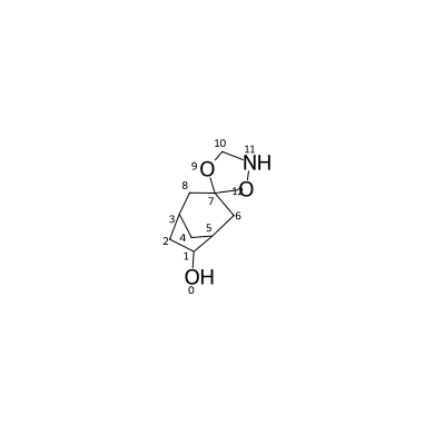 OC1CC2CC1CC1(C2)OCNO1